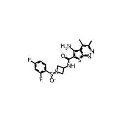 Cc1nnc2sc(C(=O)NC3CN([S+]([O-])c4ccc(F)cc4F)C3)c(N)c2c1C